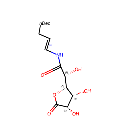 CCCCCCCCCCC/C=C/NC(=O)[C@H](O)[C@H]1OC(=O)[C@@H](O)[C@H]1O